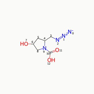 [N-]=[N+]=NCC1CC(O)CN1C(=O)O